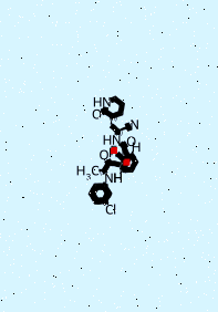 C[C@H](Nc1cccc(Cl)c1)C(=O)N1[C@@H]2CC[C@H]([C@@H]1C(=O)N[C@H](C#N)C[C@H]1CCCNC1=O)C(F)(F)C2